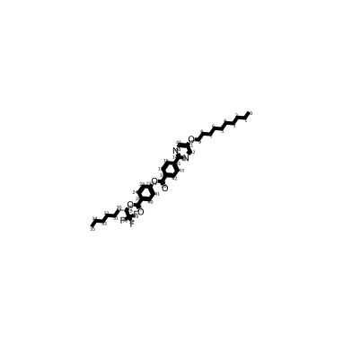 CCCCCCCCCCOc1cnc(-c2ccc(C(=O)Oc3ccc(C(=O)O[C@@H](CCCCCC)C(F)(F)F)cc3)cc2)nc1